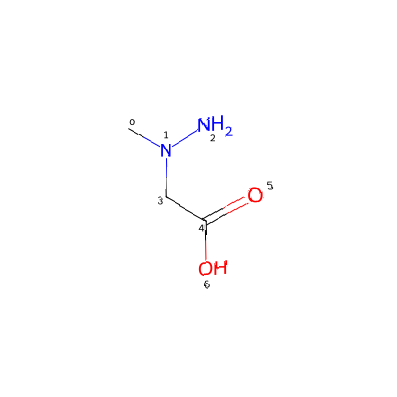 CN(N)CC(=O)O